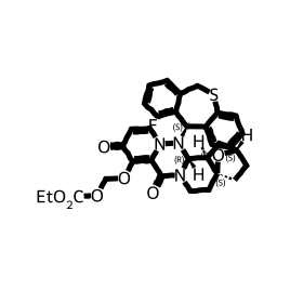 CCOC(=O)OCOc1c2n(ccc1=O)N([C@@H]1c3ccccc3SCc3cccc(F)c31)[C@@H]1[C@H]3C[C@@H]4CC[C@@]3(CCN1C2=O)O4